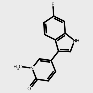 Cn1cc(-c2c[nH]c3cc(F)ccc23)ccc1=O